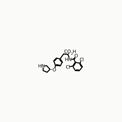 O=C(N[C@@H](Cc1ccc(O[C@@H]2CCNC2)cc1)C(=O)O)c1c(Cl)cccc1Cl